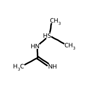 CC(=N)N[SH](C)C